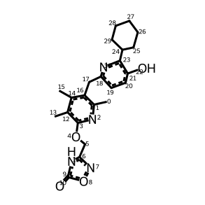 Cc1nc(OCc2noc(=O)[nH]2)c(C)c(C)c1Cc1ccc(O)c(C2CCCCC2)n1